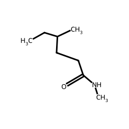 CCC(C)CCC(=O)NC